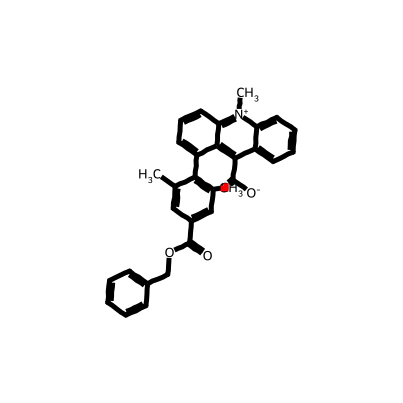 Cc1cc(C(=O)OCc2ccccc2)cc(C)c1-c1cccc2c1c(C(=O)[O-])c1ccccc1[n+]2C